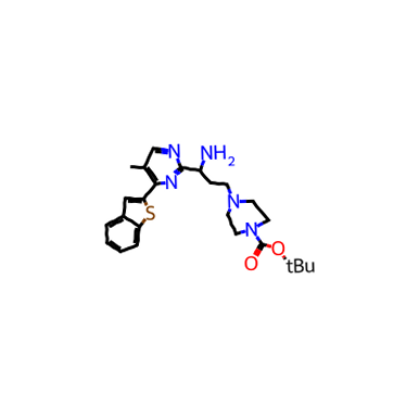 Cc1cnc(C(N)CCN2CCN(C(=O)OC(C)(C)C)CC2)nc1-c1cc2ccccc2s1